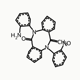 C=C1c2ccccc2N(c2ccccc2N)C(=O)c2ccccc2N1c1ccccc1N=O